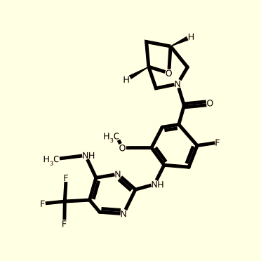 CNc1nc(Nc2cc(F)c(C(=O)N3C[C@H]4C[C@@H](C3)O4)cc2OC)ncc1C(F)(F)F